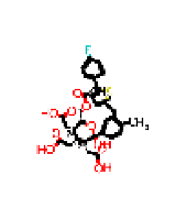 CC(=O)OC[C@@H]1OC(O)(c2ccc(C)c(Cc3ccc(-c4ccc(F)cc4)s3)c2)[C@H](CC(=O)O)[C@@H](CC(=O)O)[C@H]1CC(=O)O